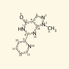 Cn1ncc2c(=O)[nH]c(-c3ccccn3)nc21